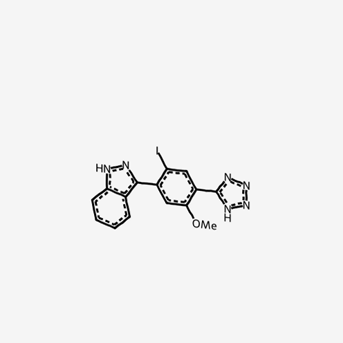 COc1cc(-c2n[nH]c3ccccc23)c(I)cc1-c1nnn[nH]1